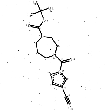 CC(C)(C)OC(=O)N1CCCN(C(=O)n2cc(C#N)cn2)CC1